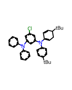 CC(C)(C)c1ccc(N(C2=CCC(C(C)(C)C)C=C2)c2cc(Cl)cc(N(c3ccccc3)c3ccccc3)c2)cc1